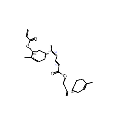 C=CC(=O)O[C@H]1C[C@H](/C(C)=C\C=C\C(=O)OCC(=C)[C@H]2CC=C(C)CC2)CC=C1C